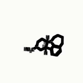 O=C(O)N1CC[C@H]2[C@@H](C1)c1cccc3c1N2CCCC3